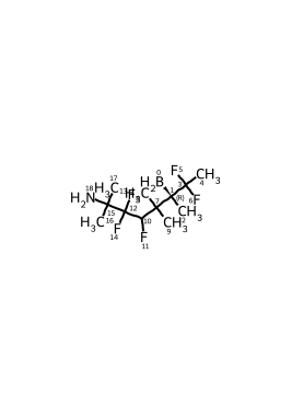 B[C@](C)(C(C)(F)F)C(C)(C)C(F)C(F)(F)C(C)(C)N